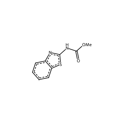 COC(=O)Nc1nc2cc[c]cc2s1